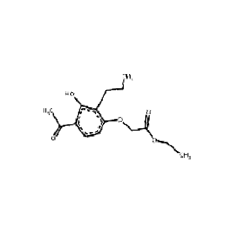 CCCc1c(OCC(=O)OCC)ccc(C(C)=O)c1O